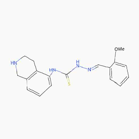 COc1ccccc1/C=N/NC(=S)Nc1cccc2c1CCNC2